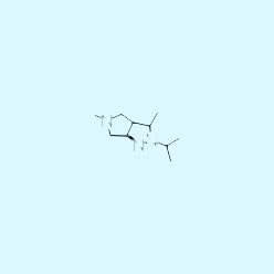 CC(C)N1N=C2CN(C)CC2C1C